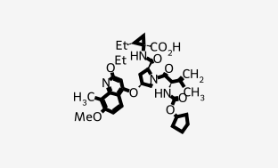 C=C(C)[C@H](NC(=O)OC1CCCC1)C(=O)N1C[C@H](Oc2cc(OCC)nc3c(C)c(OC)ccc23)C[C@H]1C(=O)N[C@]1(C(=O)O)C[C@H]1CC